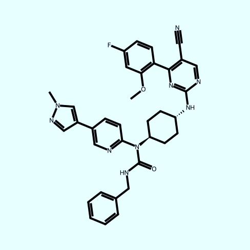 COc1cc(F)ccc1-c1nc(N[C@H]2CC[C@H](N(C(=O)NCc3ccccc3)c3ccc(-c4cnn(C)c4)cn3)CC2)ncc1C#N